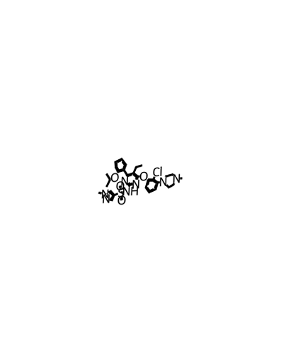 CCc1c(Oc2cccc(N3CCN(C)CC3)c2Cl)nc(NS(=O)(=O)c2cnn(C)c2)nc1-c1ccccc1OC(C)C